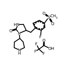 CS(=O)(=O)c1ccc(CC2CNC(=O)N2C2CCNCC2)c(F)c1.O=C(O)C(F)(F)F